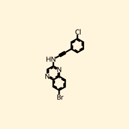 Clc1cccc(C#CNc2cnc3cc(Br)ccc3n2)c1